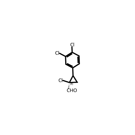 O=C[C@@]1(Cl)CC1c1ccc(Cl)c(Cl)c1